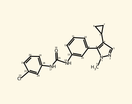 Cn1ncc(C2CC2)c1-c1cccc(NC(=O)Nc2cccc(Cl)c2)c1